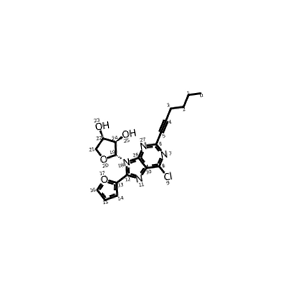 CCCCC#Cc1nc(Cl)c2nc(-c3ccco3)n([C@@H]3OC[C@@H](O)[C@H]3O)c2n1